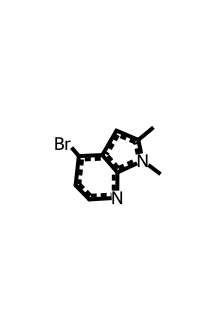 Cc1cc2c(Br)ccnc2n1C